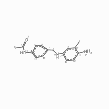 CC(=O)Nc1ccc(CNc2ccc(N)c(C)c2)cc1